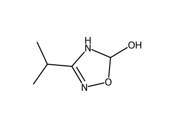 CC(C)C1=NOC(O)N1